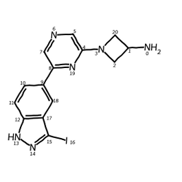 NC1CN(c2cncc(-c3ccc4[nH]nc(I)c4c3)n2)C1